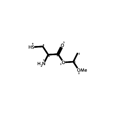 COC(C)OC(=O)C(N)CS